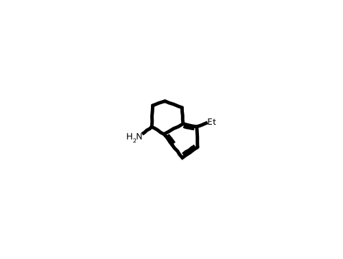 CCc1cccc2c1CCCC2N